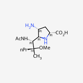 CCC[C@](C)(OC)[C@H](NC(C)=O)[C@@H]1N[C@@H](C(=O)O)C[C@H]1N